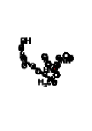 CN(CCOCCOCCOCCC(=O)N1CCN(CCOCCO)CC1)C(=O)c1cccc(C(=O)Nc2ccc(N3CCCCC3)cc2-c2cc(C(=O)N[C@H]3CCCc4ccccc43)ccn2)c1